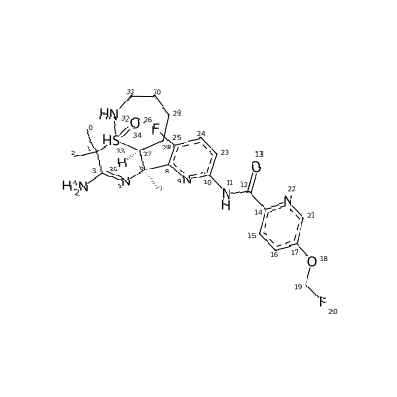 CC1(C)C(N)=N[C@](C)(c2nc(NC(=O)c3ccc(OCF)cn3)ccc2F)[C@@H]2CCCCN[SH]21=O